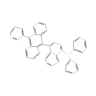 c1ccc(N(c2ccccc2)c2ccc(-c3c4ccccc4c(-c4cccnc4)c4ccccc34)c3ccccc23)cc1